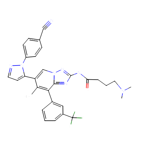 Cc1c(-c2ccnn2-c2ccc(C#N)cc2)cn2nc(NC(=O)CCCN(C)C)nc2c1-c1cccc(C(F)(F)F)c1